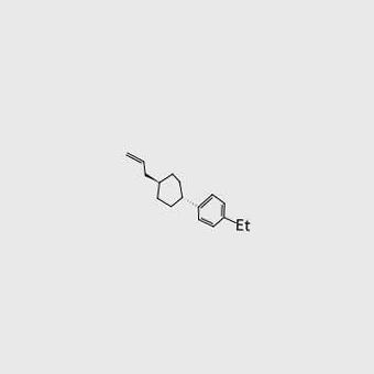 [CH2]Cc1ccc([C@H]2CC[C@H](CC=C)CC2)cc1